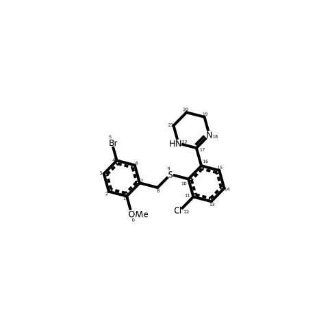 COc1ccc(Br)cc1CSc1c(Cl)cccc1C1=NCCCN1